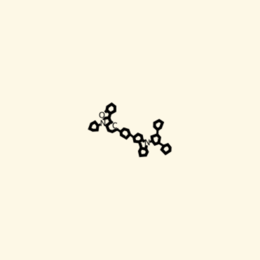 c1ccc(-c2cc(-c3ccccc3)cc(-n3c4ccccc4c4cc(-c5ccc(-c6ccc7c(c6)c6c8ccccc8oc6n7-c6ccccc6)cc5)ccc43)c2)cc1